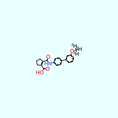 [2H]C([2H])([2H])Oc1cccc(-c2ccc(NC(=O)C3=C(C(=O)O)CCC3)cc2)c1